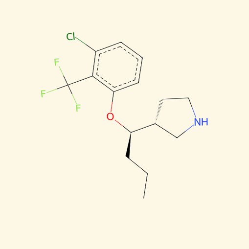 CCC[C@@H](Oc1cccc(Cl)c1C(F)(F)F)[C@@H]1CCNC1